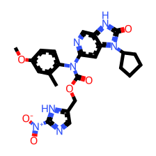 COc1ccc(N(C(=O)OCc2cnc([N+](=O)[O-])[nH]2)c2cc3c(cn2)[nH]c(=O)n3C2CCCC2)c(C)c1